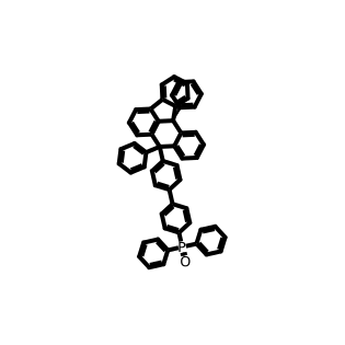 O=P(c1ccccc1)(c1ccccc1)c1ccc(-c2ccc(C3(c4ccccc4)c4ccccc4[C@@]4(c5ccccc5)c5ccccc5-c5cccc3c54)cc2)cc1